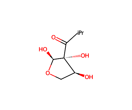 CC(C)C(=O)[C@]1(O)[C@H](O)OC[C@@H]1O